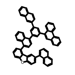 c1ccc2cc(-c3cc(-c4ccc(-c5cccc6oc7ccc(-c8cccc9ccccc89)cc7c56)c5ccccc45)cc(-c4cc5ccccc5c5ccccc45)c3)ccc2c1